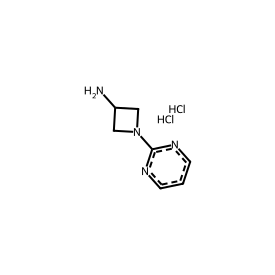 Cl.Cl.NC1CN(c2ncccn2)C1